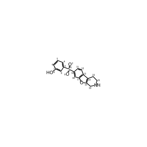 O=S(=O)(c1cccc(O)c1)c1ccc2c3c(oc2c1)CNCC3